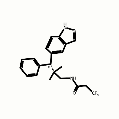 CC(C)(CNC(=O)CC(F)(F)F)[C@H](c1ccccc1)c1ccc2[nH]ncc2c1